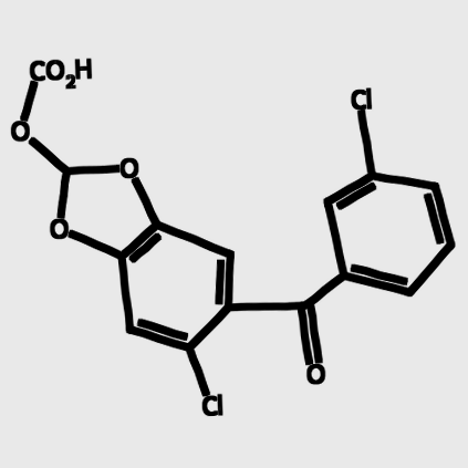 O=C(O)OC1Oc2cc(Cl)c(C(=O)c3cccc(Cl)c3)cc2O1